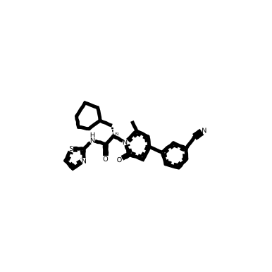 Cc1cc(-c2cccc(C#N)c2)cc(=O)n1[C@@H](CC1CCCCC1)C(=O)Nc1nccs1